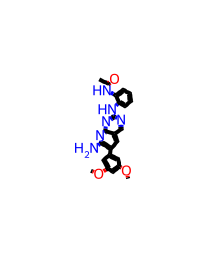 COc1cc(OC)cc(-c2cc3cnc(Nc4ccccc4NC(C)=O)nc3nc2N)c1